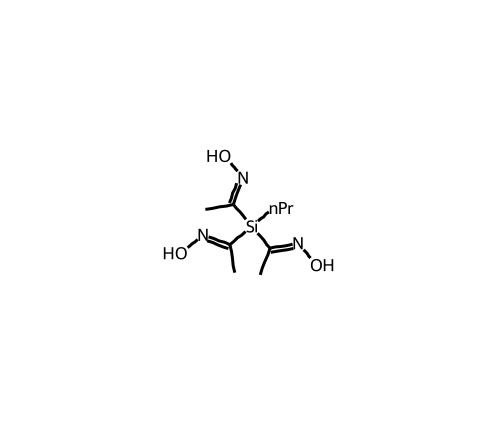 CCC[Si](C(C)=NO)(C(C)=NO)C(C)=NO